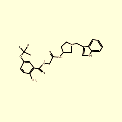 Nc1ccc(OC(F)(F)F)cc1C(=O)NCC(=O)NC1CCN(Cc2c[nH]c3ccccc23)C1